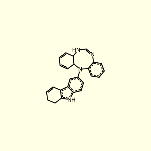 C1=CC2N/C=N\c3ccccc3N(c3ccc4[nH]c5c(c4c3)C=CCC5)C2C=C1